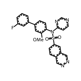 COc1cc(-c2cccc(F)c2)ccc1N(c1ccncn1)S(=O)(=O)c1ccc2cnncc2c1